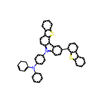 C1=CCCC(N(c2ccccc2)c2ccc(-n3c4ccc(-c5cccc6c5sc5ccccc56)cc4c4c5sc6ccccc6c5ccc43)cc2)=C1